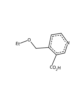 CCOCc1ccncc1C(=O)O